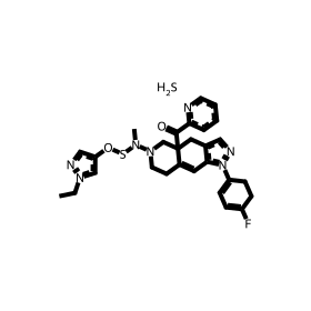 CCn1cc(OSN(C)N2CCC3=Cc4c(cnn4C4=CC=C(F)CC4)CC3(C(=O)c3ccccn3)C2)cn1.S